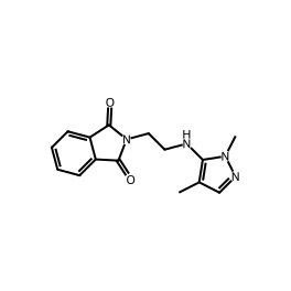 Cc1cnn(C)c1NCCN1C(=O)c2ccccc2C1=O